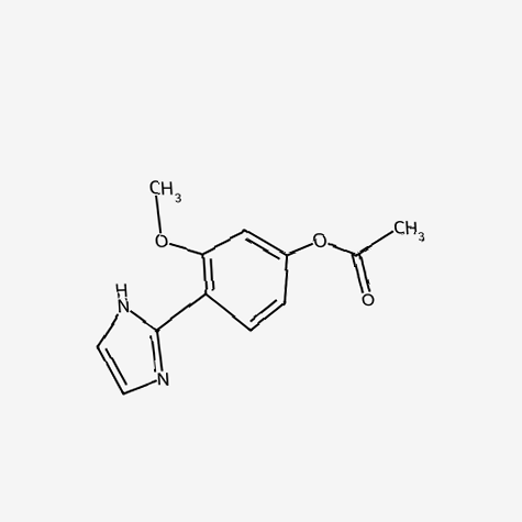 COc1cc(OC(C)=O)ccc1-c1ncc[nH]1